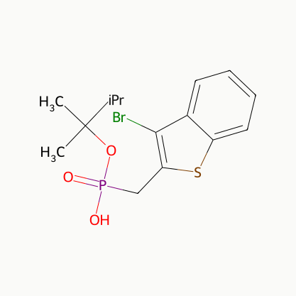 CC(C)C(C)(C)OP(=O)(O)Cc1sc2ccccc2c1Br